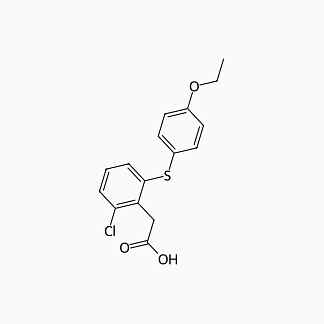 CCOc1ccc(Sc2cccc(Cl)c2CC(=O)O)cc1